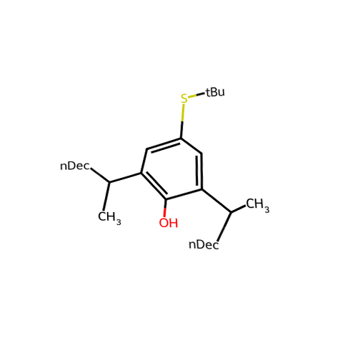 CCCCCCCCCCC(C)c1cc(SC(C)(C)C)cc(C(C)CCCCCCCCCC)c1O